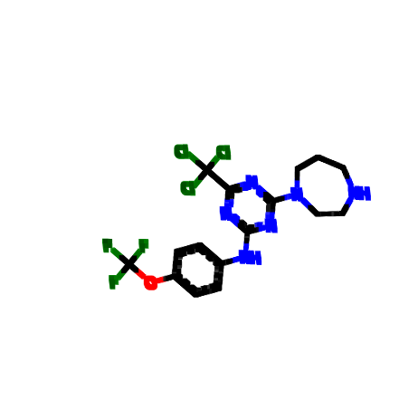 FC(F)(F)Oc1ccc(Nc2nc(N3CCCNCC3)nc(C(Cl)(Cl)Cl)n2)cc1